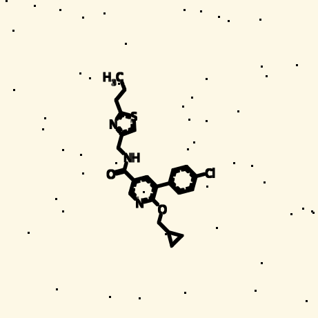 CCCc1nc(CNC(=O)c2cnc(OCC3CC3)c(-c3ccc(Cl)cc3)c2)cs1